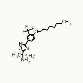 [CH2][C@@](C)(N)c1nc(-c2ccc(OCCCCCCCC)c(C(F)(F)F)c2)no1